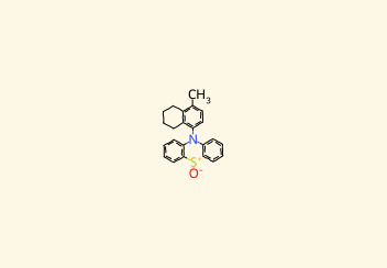 Cc1ccc(N2c3ccccc3[S+]([O-])c3ccccc32)c2c1CCCC2